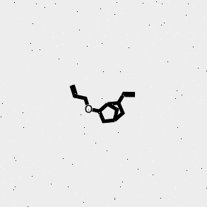 C=CCOC1CC2CC(C=C)C1C2